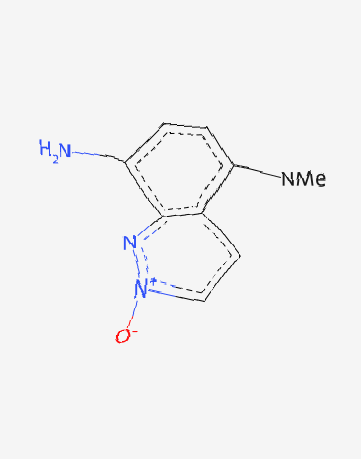 CNc1ccc(N)c2n[n+]([O-])ccc12